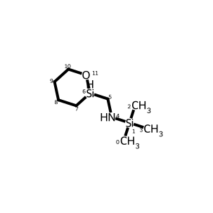 C[Si](C)(C)NC[SiH]1CCCCO1